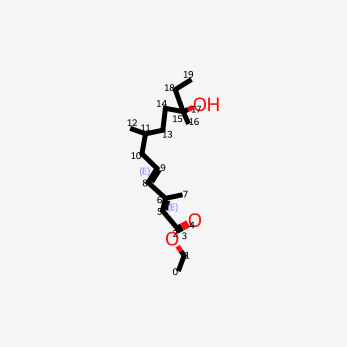 CCOC(=O)/C=C(C)/C=C/CC(C)CCC(C)(O)CC